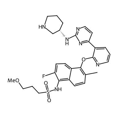 COCCCS(=O)(=O)Nc1c(F)ccc2c(Oc3ncccc3-c3ccnc(N[C@H]4CCCNC4)n3)c(C)ccc12